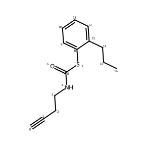 C#CCCNC(=O)Sc1ccccc1CCC